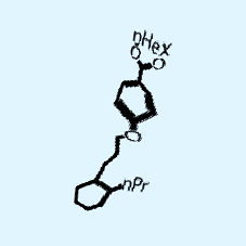 CCCCCCOC(=O)c1ccc(OCCCC2CCCCC2CCC)cc1